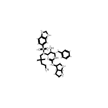 CC(C)(CCC#N)CN(C[C@@H](O)[C@H](Cc1ccccc1)NC(=O)OC1COC2OCCC12)S(=O)(=O)c1ccc2c(c1)OCO2